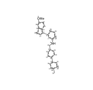 COc1ccn2c(-c3cc(NCc4ccc(-c5cnc(C)nc5)cc4)ncn3)cnc2c1